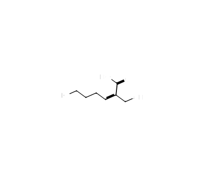 CCC(=CCCCO)C(=O)O